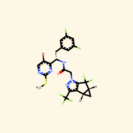 CSc1ncc(Br)c([C@H](Cc2cc(F)cc(F)c2)NC(=O)Cn2nc(C(F)(F)F)c3c2C(F)(F)[C@@H]2C[C@H]32)n1